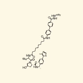 CCCNNC(=O)c1ccc(-c2ccc(NC(=O)CCCCCCCCC(=O)NC(C(=O)N3C[C@H](O)C[C@H]3C(=O)N[C@@H](C)c3ccc(-c4scnc4C)cc3)C(C)(C)C)cc2)cc1